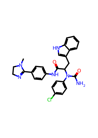 CN1CCN=C1c1ccc(NC(=O)C(Cc2c[nH]c3ccccc23)N(C(N)=O)c2ccc(Cl)cc2)cc1